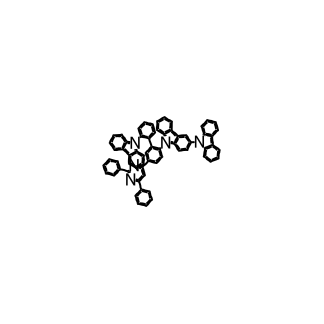 c1ccc(-c2cc(-c3ccc(-n4c5ccccc5c5cc(-n6c7ccccc7c7ccccc76)ccc54)c(-c4ccccc4-n4c5ccccc5c5ccccc54)c3)nc(-c3ccccc3)n2)cc1